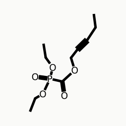 CCC#CCOC(=O)P(=O)(OCC)OCC